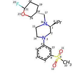 CC(C)[C@H]1CN(c2cccc(S(C)(=O)=O)c2)CCN1C[C@H]1CCC(F)OC1